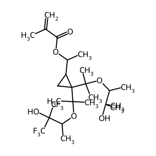 C=C(C)C(=O)OC(C)C1CC1(C(C)(C)OC(C)C(C)(C)O)C(C)(C)OC(C)C(O)(C(F)(F)F)C(F)(F)F